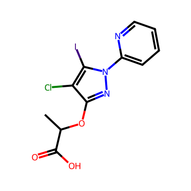 CC(Oc1nn(-c2ccccn2)c(I)c1Cl)C(=O)O